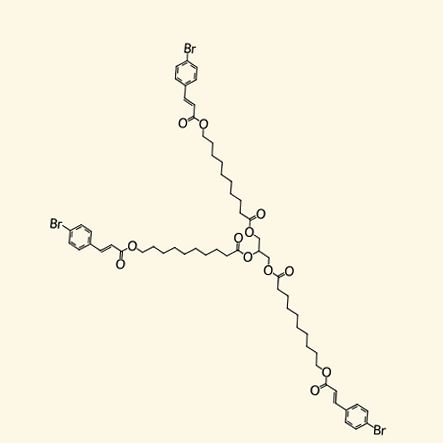 O=C(C=Cc1ccc(Br)cc1)OCCCCCCCCCC(=O)OCC(COC(=O)CCCCCCCCCOC(=O)C=Cc1ccc(Br)cc1)OC(=O)CCCCCCCCCOC(=O)C=Cc1ccc(Br)cc1